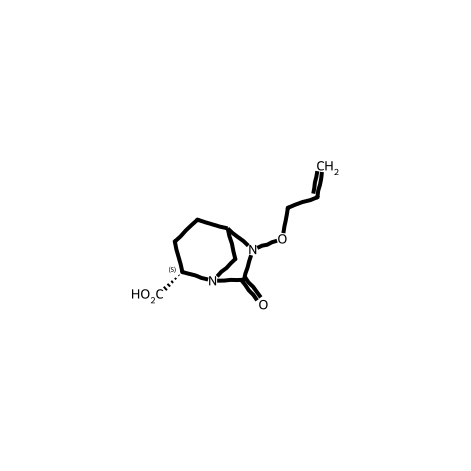 C=CCON1C(=O)N2CC1CC[C@H]2C(=O)O